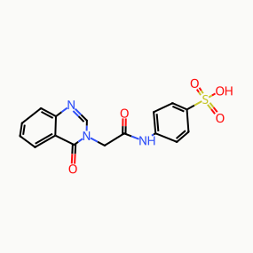 O=C(Cn1cnc2ccccc2c1=O)Nc1ccc(S(=O)(=O)O)cc1